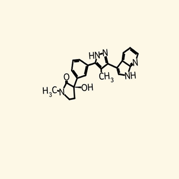 Cc1c(-c2c[nH]c3ncccc23)n[nH]c1-c1cccc([C@]2(O)CCN(C)C2=O)c1